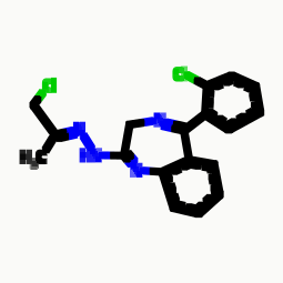 C/C(CCl)=N\NC1=Nc2ccccc2C(c2ccccc2Cl)=NC1